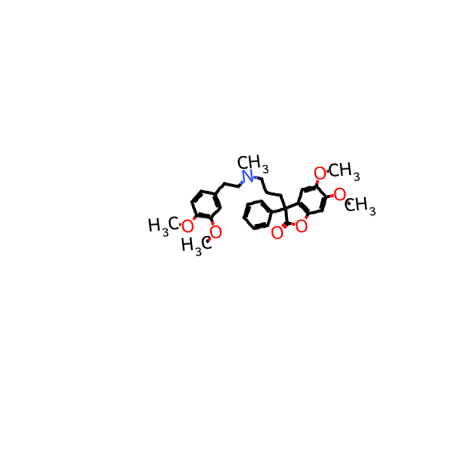 COc1ccc(CCN(C)CCCC2(c3ccccc3)C(=O)Oc3cc(OC)c(OC)cc32)cc1OC